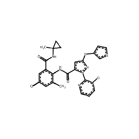 Cc1cc(Cl)cc(C(=O)NC2(C)CC2)c1NC(=O)c1cc(Oc2ccsc2)nn1-c1ncccc1Cl